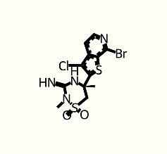 CN1C(=N)N[C@](C)(c2sc3c(Br)nccc3c2Cl)CS1(=O)=O